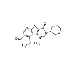 CC(C)c1c(C=O)cnc2sc3c(=O)n(C4CCCCC4)cnc3c12